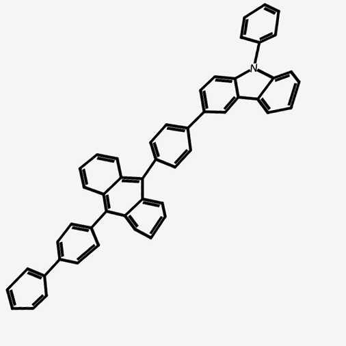 c1ccc(-c2ccc(-c3c4ccccc4c(-c4ccc(-c5ccc6c(c5)c5ccccc5n6-c5ccccc5)cc4)c4ccccc34)cc2)cc1